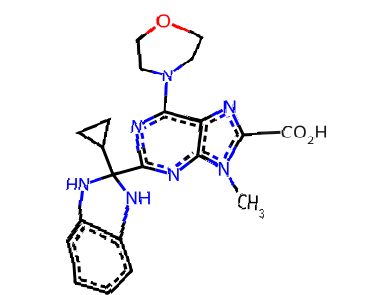 Cn1c(C(=O)O)nc2c(N3CCOCC3)nc(C3(C4CC4)Nc4ccccc4N3)nc21